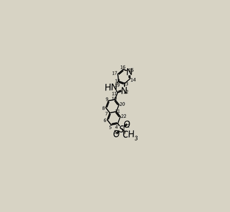 CS(=O)(=O)c1ccc2ccc(-c3nc4cnccc4[nH]3)cc2c1